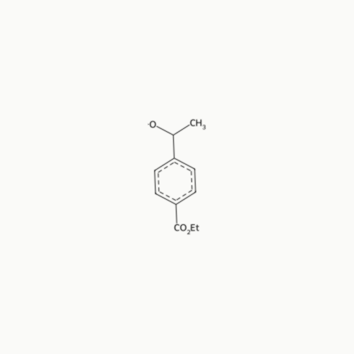 CCOC(=O)c1ccc(C(C)[O])cc1